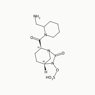 NCC1CCCCN1C(=O)[C@@H]1CC[C@@H]2CN1C(=O)N2OS(=O)(=O)O